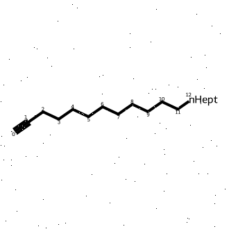 [C]#CCCCCCCCCCCCCCCCC[CH2]